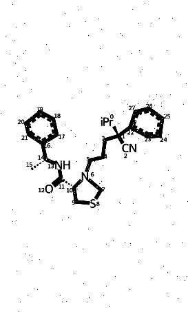 CC(C)[C@@](C#N)(CCCN1CSC[C@@H]1C(=O)N[C@H](C)c1ccccc1)c1ccccc1